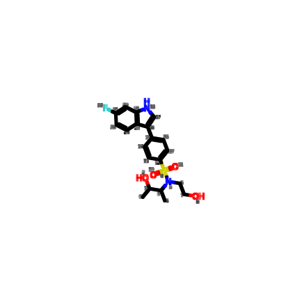 CC(O)C(C)N(CCO)S(=O)(=O)c1ccc(-c2c[nH]c3cc(F)ccc23)cc1